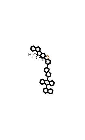 CC1(C)c2cc3c(cc2-c2ccc4ccccc4c21)sc1ccc(-c2ccc4cc(-c5c6ccccc6c(-c6cccc7ccccc67)c6ccccc56)ccc4c2)cc13